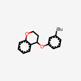 CCC(C)c1cccc(OC2CCOc3ccccc32)c1